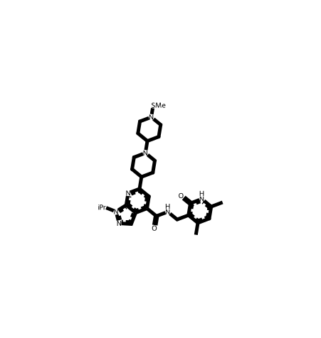 CSN1CCC(N2CCC(c3cc(C(=O)NCc4c(C)cc(C)[nH]c4=O)c4cnn(C(C)C)c4n3)CC2)CC1